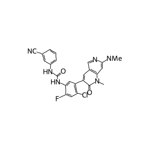 CNc1cc2c(cn1)cc(-c1cc(NC(=O)Nc3cccc(C#N)c3)c(F)cc1Cl)c(=O)n2C